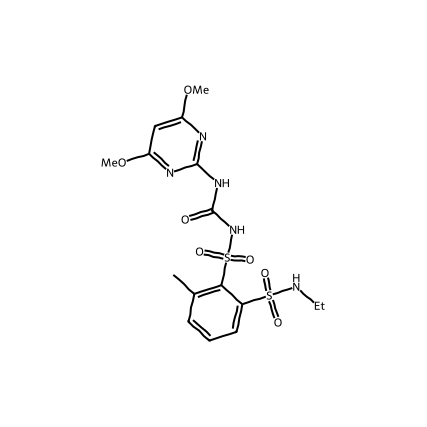 CCNS(=O)(=O)c1cccc(C)c1S(=O)(=O)NC(=O)Nc1nc(OC)cc(OC)n1